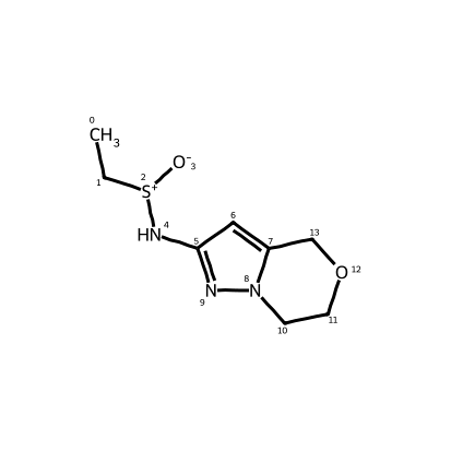 CC[S+]([O-])Nc1cc2n(n1)CCOC2